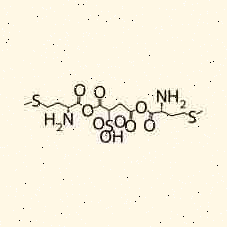 CSCC[C@H](N)C(=O)OC(=O)CC(C(=O)OC(=O)[C@@H](N)CCSC)S(=O)(=O)O